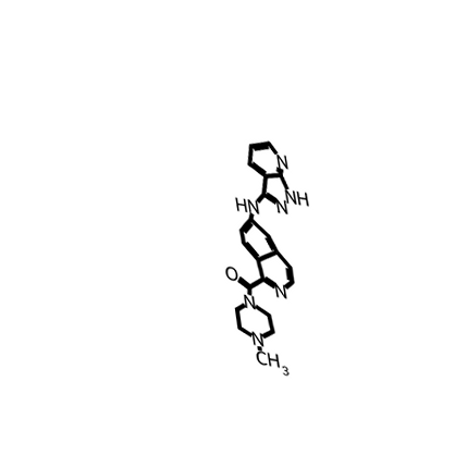 CN1CCN(C(=O)c2nccc3cc(Nc4n[nH]c5ncccc45)ccc23)CC1